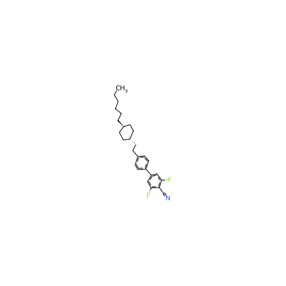 CCCCCC[C@H]1CC[C@H](CCc2ccc(-c3cc(F)c(C#N)c(F)c3)cc2)CC1